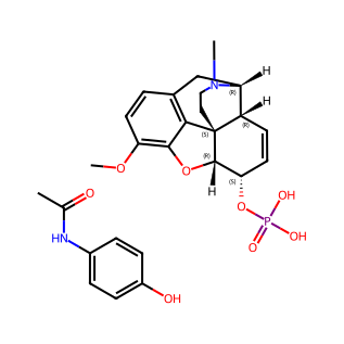 CC(=O)Nc1ccc(O)cc1.COc1ccc2c3c1O[C@H]1[C@@H](OP(=O)(O)O)C=C[C@H]4[C@@H](C2)N(C)CC[C@@]341